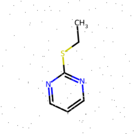 CCSc1nc[c]cn1